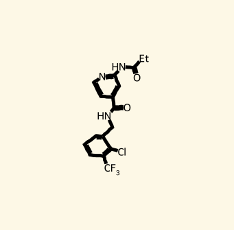 CCC(=O)Nc1cc(C(=O)NCc2cccc(C(F)(F)F)c2Cl)ccn1